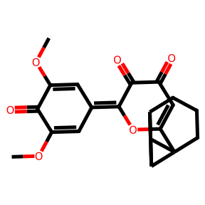 COC1=CC(=C2OC(C34CCCC5C3C54)=CC(=O)C2=O)C=C(OC)C1=O